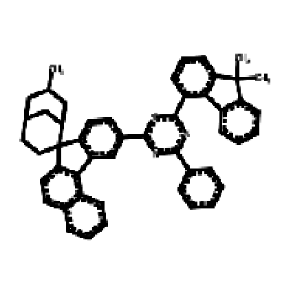 CC1CC2CCC3(c4ccc(-c5nc(-c6ccccc6)nc(-c6cccc7c6-c6ccccc6C7(C)C)n5)cc4-c4c3ccc3ccccc43)C(C1)C2